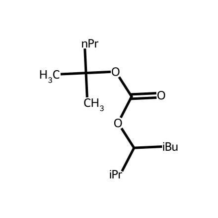 CCCC(C)(C)OC(=O)OC(C(C)C)C(C)CC